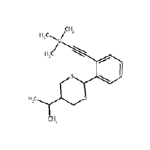 CC(C)C1CSC(c2ccccc2C#C[Si](C)(C)C)SC1